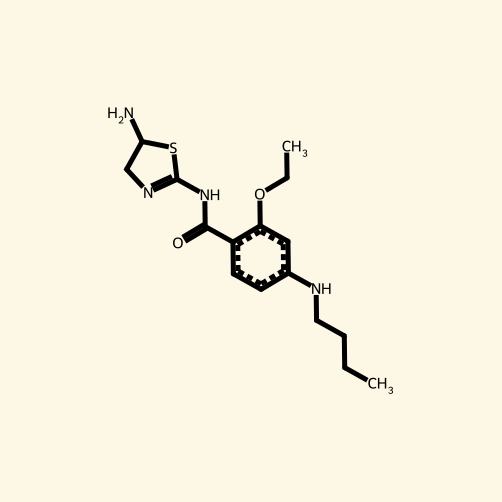 CCCCNc1ccc(C(=O)NC2=NCC(N)S2)c(OCC)c1